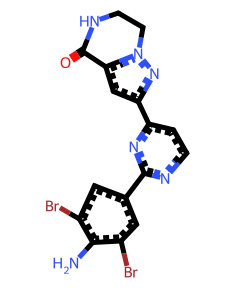 Nc1c(Br)cc(-c2nccc(-c3cc4n(n3)CCNC4=O)n2)cc1Br